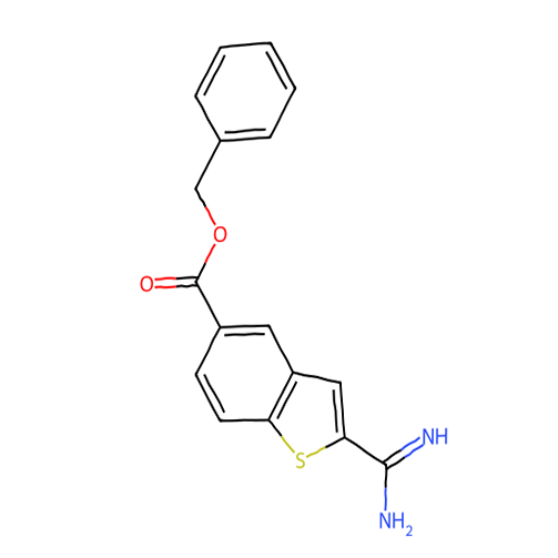 N=C(N)c1cc2cc(C(=O)OCc3ccccc3)ccc2s1